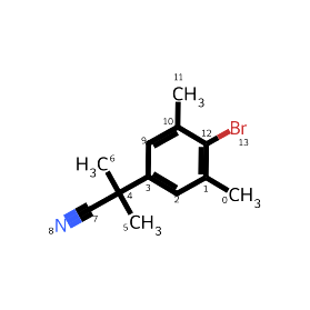 Cc1cc(C(C)(C)C#N)cc(C)c1Br